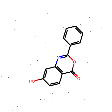 O=c1oc(-c2ccccc2)nc2cc(O)ccc12